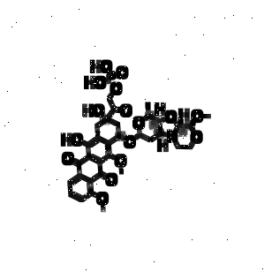 COc1cccc2c1C(=O)c1c(OC)c3c(c(O)c1C2=O)C[C@@](O)(C(=O)COP(=O)(O)O)C[C@@H]3OC1C[C@H]2[C@H](O[C@@H]3[C@@H](OC)OCCN32)[C@H](C)O1